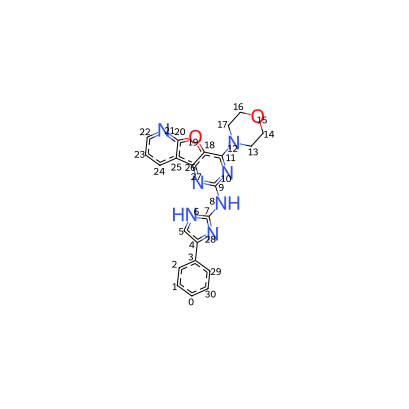 c1ccc(-c2c[nH]c(Nc3nc(N4CCOCC4)c4oc5ncccc5c4n3)n2)cc1